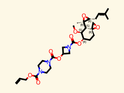 C=CCOC(=O)N1CCN(C(=O)OC2CN(C(=O)O[C@@H]3CC[C@]4(CO4)[C@@H]([C@@]4(C)O[C@@H]4CC=C(C)C)[C@@H]3OC)C2)CC1